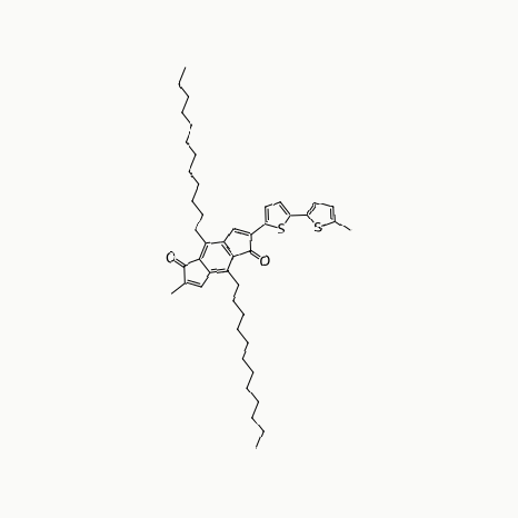 CCCCCCCCCCCCc1c2cc(-c3ccc(-c4ccc(C)s4)s3)c(=O)c2c(CCCCCCCCCCCC)c2cc(C)c(=O)c12